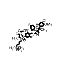 COc1cc(C(C)(C)c2cnc(SCc3c(F)cc(S(=O)(=O)N(CCCC[N+](C)(C)C)C(C)C(=O)OC(=O)C(F)(F)F)cc3F)n2-c2ccc(F)cc2)ccc1Cl